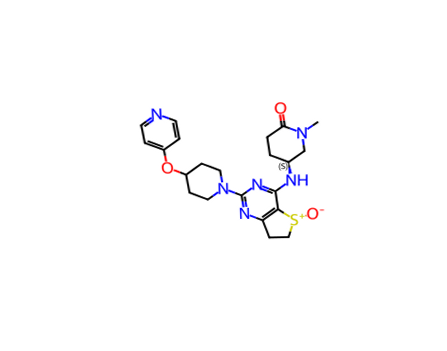 CN1C[C@@H](Nc2nc(N3CCC(Oc4ccncc4)CC3)nc3c2[S+]([O-])CC3)CCC1=O